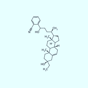 CC[C@]1(O)CC[C@@]2(C)C(=CC[C@@H]3C2CC[C@]2(C)[C@@H]([C@H](C)CCC(O)c4ccccc4C#N)CC[C@@H]32)C1